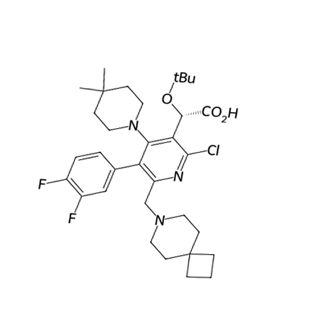 CC1(C)CCN(c2c(-c3ccc(F)c(F)c3)c(CN3CCC4(CCC4)CC3)nc(Cl)c2[C@H](OC(C)(C)C)C(=O)O)CC1